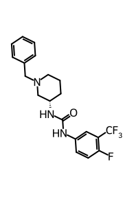 O=C(Nc1ccc(F)c(C(F)(F)F)c1)N[C@H]1CCCN(Cc2ccccc2)C1